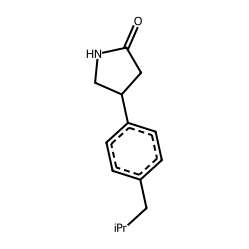 CC(C)Cc1ccc(C2CNC(=O)C2)cc1